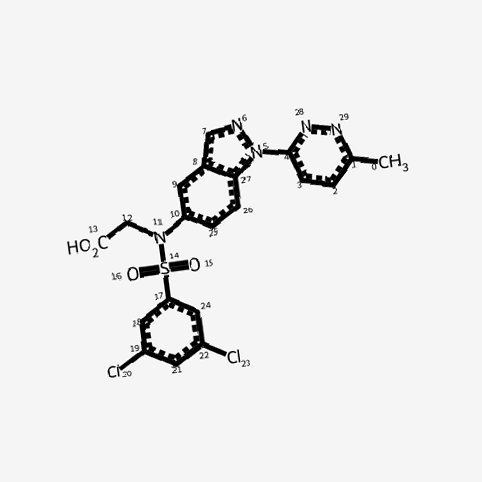 Cc1ccc(-n2ncc3cc(N(CC(=O)O)S(=O)(=O)c4cc(Cl)cc(Cl)c4)ccc32)nn1